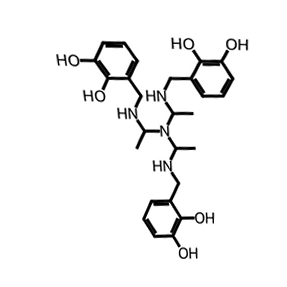 CC(NCc1cccc(O)c1O)N(C(C)NCc1cccc(O)c1O)C(C)NCc1cccc(O)c1O